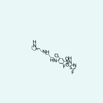 O=S(=O)(Nc1ncc(F)s1)c1cc(Cl)c(NCCCCNCC[C@H]2CCCN2)cc1F